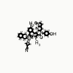 Cc1c(C(=O)N(c2ccc(O)cc2)c2cnc3c(ccn3C)c2)cc(-c2cc(F)ccc2C(=O)N2Cc3ccccc3C[C@H]2CN2CC(C#N)C2)n1C